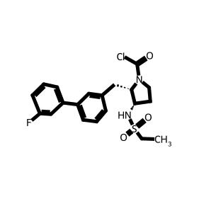 CCS(=O)(=O)N[C@H]1CCN(C(=O)Cl)[C@H]1Cc1cccc(-c2cccc(F)c2)c1